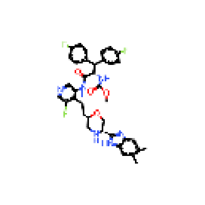 COC(=O)N[C@H](C(=O)Nc1cncc(F)c1CC[C@@H]1CN[C@H](c2nc3cc(C)c(C)cc3[nH]2)CO1)C(c1ccc(F)cc1)c1ccc(F)cc1